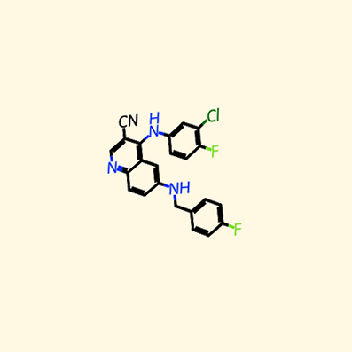 N#Cc1cnc2ccc(NCc3ccc(F)cc3)cc2c1Nc1ccc(F)c(Cl)c1